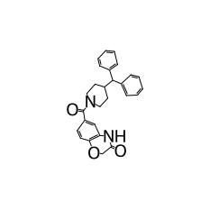 O=C1COc2ccc(C(=O)N3CCC(C(c4ccccc4)c4ccccc4)CC3)cc2N1